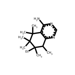 CCC1(C)C(C)c2ncnc(N)c2C(C)(C)C1(C)C